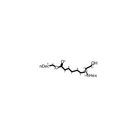 CCCCCCCCCCCOC(=O)CCCCCN(CCO)CCCCCC